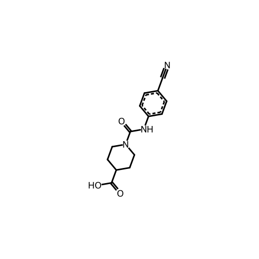 N#Cc1ccc(NC(=O)N2CCC(C(=O)O)CC2)cc1